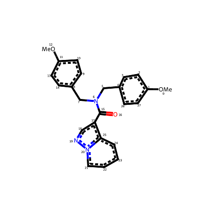 COc1ccc(CN(Cc2ccc(OC)cc2)C(=O)c2cnn3ccccc23)cc1